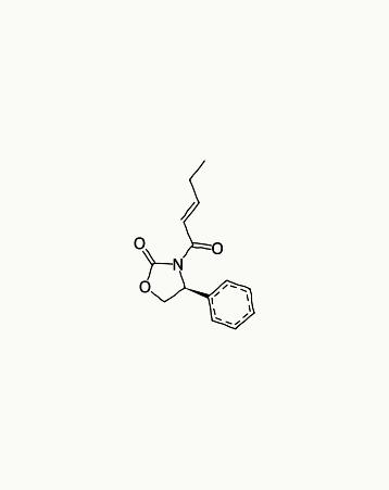 CCC=CC(=O)N1C(=O)OC[C@@H]1c1ccccc1